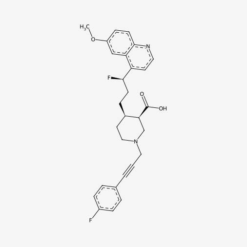 COc1ccc2nccc([C@H](F)CC[C@@H]3CCN(CC#Cc4ccc(F)cc4)C[C@@H]3C(=O)O)c2c1